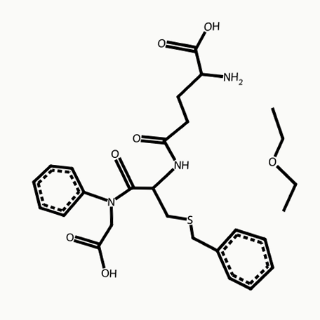 CCOCC.NC(CCC(=O)NC(CSCc1ccccc1)C(=O)N(CC(=O)O)c1ccccc1)C(=O)O